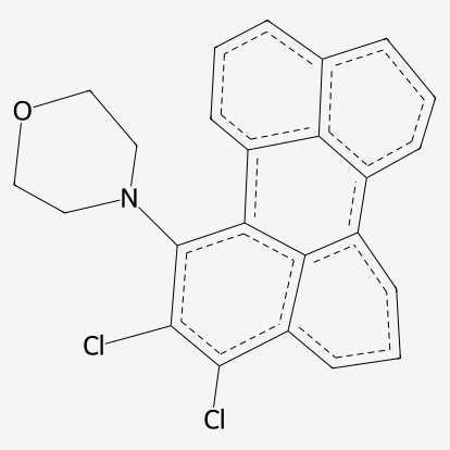 Clc1c(Cl)c2cccc3c4cccc5cccc(c(c1N1CCOCC1)c23)c54